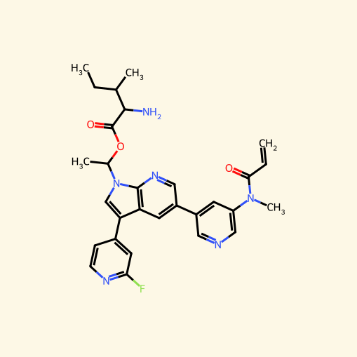 C=CC(=O)N(C)c1cncc(-c2cnc3c(c2)c(-c2ccnc(F)c2)cn3C(C)OC(=O)C(N)C(C)CC)c1